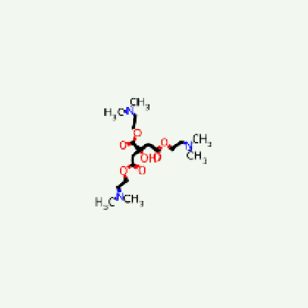 CN(C)CCOC(=O)CC(O)(CC(=O)OCCN(C)C)C(=O)OCCN(C)C